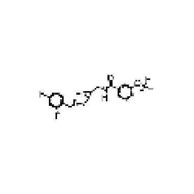 O=C(NCC1C2CN(Cc3ccc(F)cc3F)CC12)c1cccc(OC(F)(F)F)c1